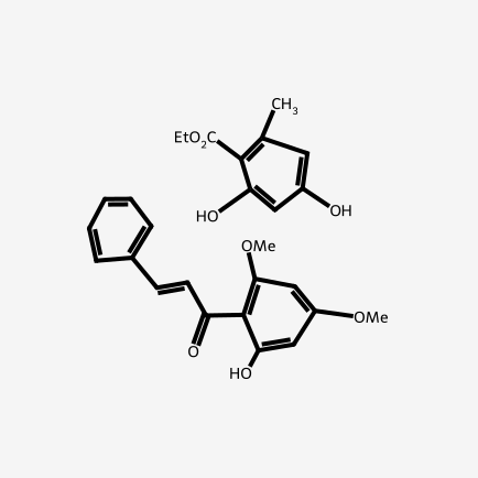 CCOC(=O)c1c(C)cc(O)cc1O.COc1cc(O)c(C(=O)C=Cc2ccccc2)c(OC)c1